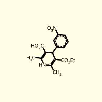 CCOC(=O)C1=C(C)NC(C)=C(C(=O)O)C1c1cccc([N+](=O)[O-])c1